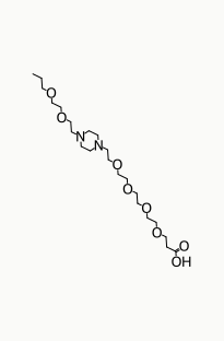 CCCOCCOCCN1CCN(CCOCCOCCOCCOCCC(=O)O)CC1